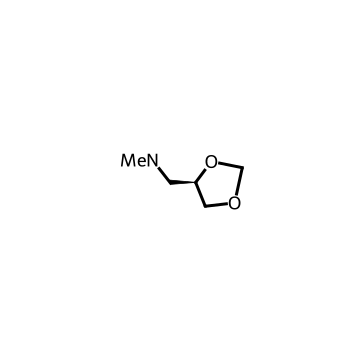 CNC[C@@H]1COCO1